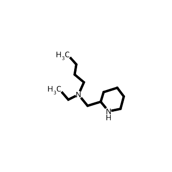 CCCCN(CC)CC1CCCCN1